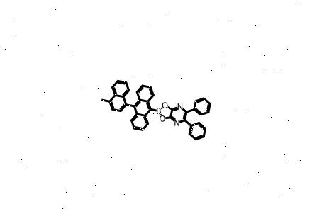 Cc1ccc(-c2c3ccccc3c(B3Oc4nc(-c5ccccc5)c(-c5ccccc5)nc4O3)c3ccccc23)c2ccccc12